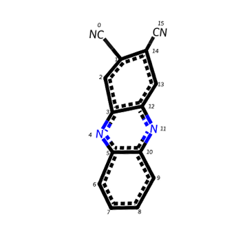 N#Cc1cc2nc3ccccc3nc2cc1C#N